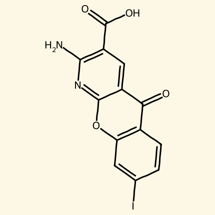 Nc1nc2oc3cc(I)ccc3c(=O)c2cc1C(=O)O